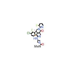 CNC(=O)N1CC(Nc2ncc3c(c2F)[C@@](C)(c2cccc(Cl)c2F)CN(c2ncccc2F)C3=O)C1